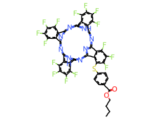 CCCCOC(=O)c1ccc(Sc2c(F)c(F)c(F)c3c2-c2nc-3nc3[nH]c(nc4nc(nc5[nH]c(n2)c2c(F)c(F)c(F)c(F)c52)-c2c(F)c(F)c(F)c(F)c2-4)c2c(F)c(F)c(F)c(F)c32)cc1